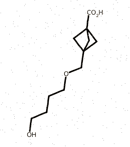 O=C(O)C12CC(COCCCCO)(C1)C2